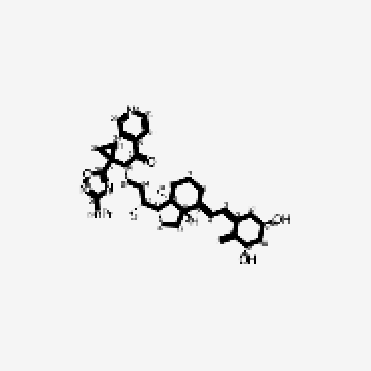 C=C1/C(=C\C=C2/CCC[C@]3(C)[C@@H]([C@H](C)CC[C@@H](C(=O)c4ccncc4)C4(c5nc(CCC)no5)CC4)CC[C@@H]23)C[C@@H](O)C[C@@H]1O